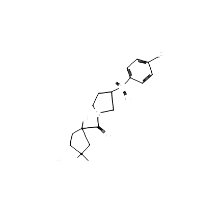 CCC1(C(=O)N2CCC(S(=O)(=O)c3ccc(F)cc3)C2)CCC(C)(C(=O)O)C1